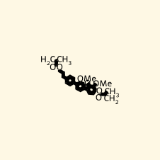 C=C(C)C(=O)OCCCc1ccc(-c2ccc3c(oc4c(OC)c(OC(=O)C(=C)C)ccc43)c2OC)cc1